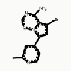 Cc1cc(-c2cc(Br)c3c(N)ncnn23)ccn1